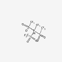 O=S(=O)(C(F)(F)F)[PH](C(F)(F)F)(S(=O)(=O)C(F)(F)F)S(=O)(=O)C(F)(F)F